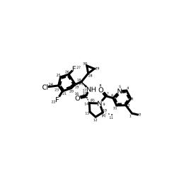 CCc1ccnc(C(=O)N2[C@H](C)CC[C@@H]2C(=O)N[C@@H](c2cc(F)c(Cl)cc2F)C2CC2)c1